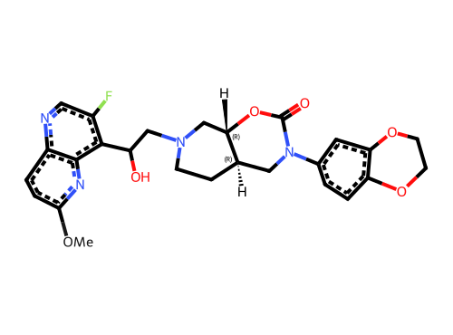 COc1ccc2ncc(F)c(C(O)CN3CC[C@@H]4CN(c5ccc6c(c5)OCCO6)C(=O)O[C@H]4C3)c2n1